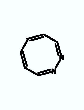 [C]1=C\C=N/N=C\C=C/1